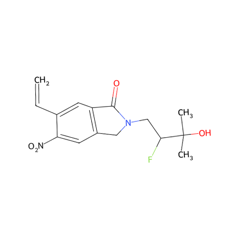 C=Cc1cc2c(cc1[N+](=O)[O-])CN(CC(F)C(C)(C)O)C2=O